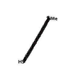 CNS(=S)(=S)SSSSSSSSSSSSSSSSSSSSSSSSSSSSSSSSSSSSSSSSSSSSSSSSSSSSSSSSSSSS